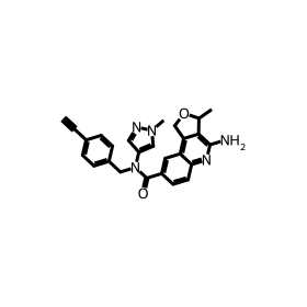 C#Cc1ccc(CN(C(=O)c2ccc3nc(N)c4c(c3c2)COC4C)c2cnn(C)c2)cc1